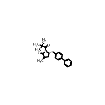 C=C1C[C@@H](Cc2ccc(-c3ccccc3)cc2)N(C(=O)C(C)(C)C)C1=O